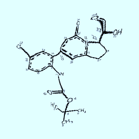 CC(C)(C)OC(=O)Nc1ccc(Cl)cc1-c1cc2n(c(=O)c1)C(C(=O)O)CC2